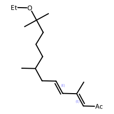 CCOC(C)(C)CCCC(C)C/C=C/C(C)=C/C(C)=O